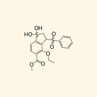 CCOc1c(C(=O)OC)ccc2c1C(S(=O)(=O)c1ccccc1)CS2(O)O